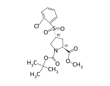 COC(=O)[C@@H]1C[C@@H](S(=O)(=O)c2ccccc2Cl)CN1C(=O)OC(C)(C)C